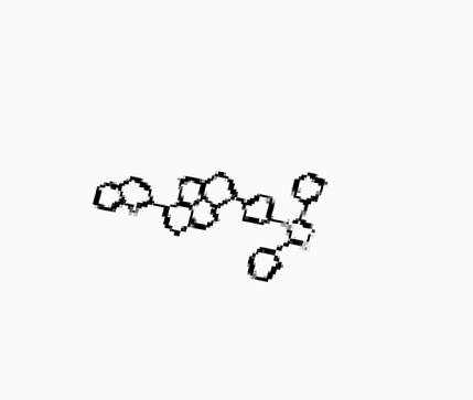 C1=C(c2ccc(-n3c(-c4ccccc4)nnc3-c3ccccc3)cc2)c2ccc3c4c(ccc(c24)C1)C(c1ccc2ccccc2n1)=CC3